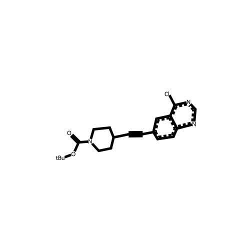 CC(C)(C)OC(=O)N1CCC(C#Cc2ccc3ncnc(Cl)c3c2)CC1